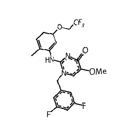 COc1cn(Cc2cc(F)cc(F)c2)c(NC2=CC(OCC(F)(F)F)CC=C2C)nc1=O